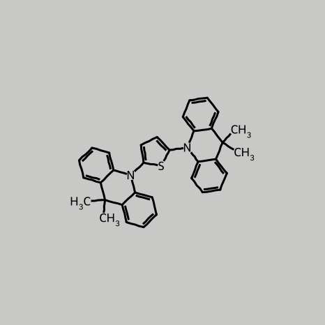 CC1(C)c2ccccc2N(c2ccc(N3c4ccccc4C(C)(C)c4ccccc43)s2)c2ccccc21